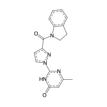 Cc1cc(=O)[nH]c(-n2ccc(C(=O)N3CCc4ccccc43)n2)n1